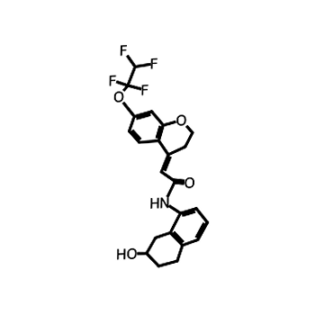 O=C(C=C1CCOc2cc(OC(F)(F)C(F)F)ccc21)Nc1cccc2c1CC(O)CC2